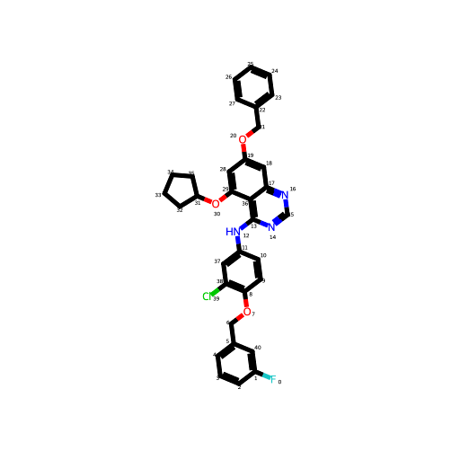 Fc1cccc(COc2ccc(Nc3ncnc4cc(OCc5ccccc5)cc(OC5CCCC5)c34)cc2Cl)c1